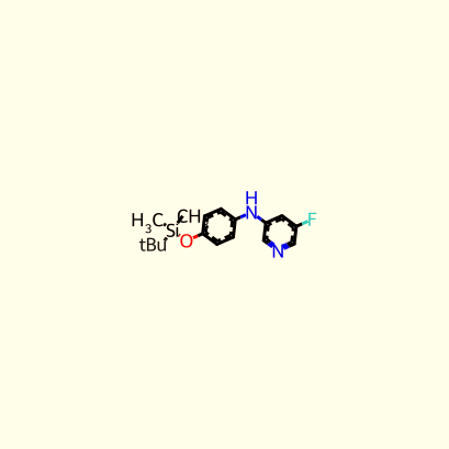 CC(C)(C)[Si](C)(C)Oc1ccc(Nc2cncc(F)c2)cc1